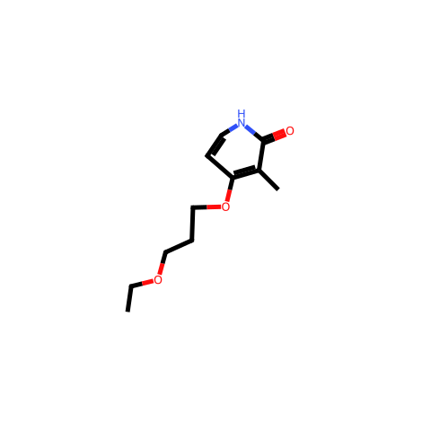 CCOCCCOc1cc[nH]c(=O)c1C